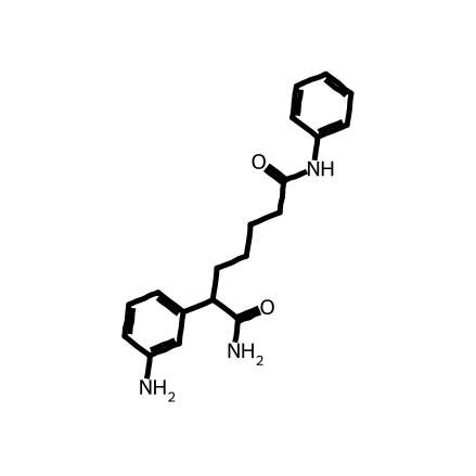 NC(=O)C(CCCCC(=O)Nc1ccccc1)c1cccc(N)c1